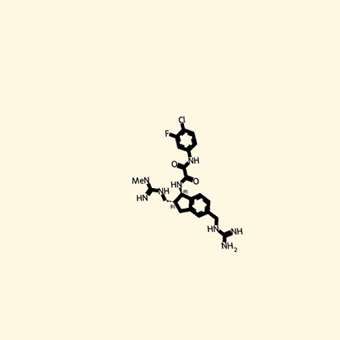 CNC(=N)NC[C@H]1Cc2cc(CNC(=N)N)ccc2[C@@H]1NC(=O)C(=O)Nc1ccc(Cl)c(F)c1